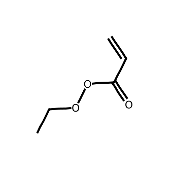 C=CC(=O)OOCC